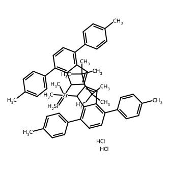 Cc1ccc(-c2ccc(-c3ccc(C)cc3)c3c2C=C(C(C)(C)C)[CH]3[Zr]([CH3])([CH3])(=[SiH2])[CH]2C(C(C)(C)C)=Cc3c(-c4ccc(C)cc4)ccc(-c4ccc(C)cc4)c32)cc1.Cl.Cl